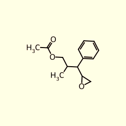 CC(=O)OCC(C)C(c1ccccc1)C1CO1